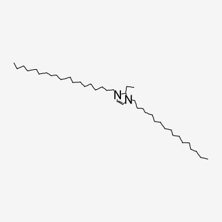 CCCCCCCCCCCCCCCCCCCN1C=CN(CCCCCCCCCCCCCCCCC)C1CC